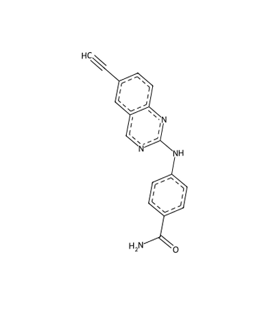 C#Cc1ccc2nc(Nc3ccc(C(N)=O)cc3)ncc2c1